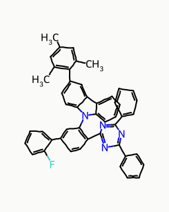 Cc1cc(C)c(-c2ccc3c(c2)c2ccccc2n3-c2cc(-c3ccccc3F)ccc2-c2nc(-c3ccccc3)nc(-c3ccccc3)n2)c(C)c1